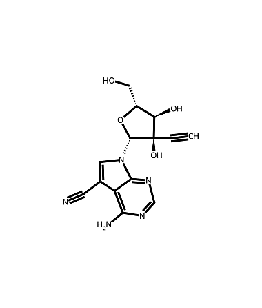 C#C[C@@]1(O)[C@H](O)[C@@H](CO)O[C@H]1n1cc(C#N)c2c(N)ncnc21